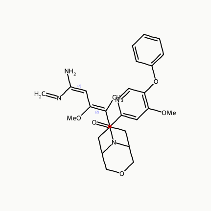 C=N/C(N)=C\C(OC)=C(/C)C1CC2COCC(C1)N2C(=O)c1cc(OC)c(Oc2ccccc2)cn1